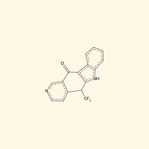 O=C1c2cnccc2C(C(F)(F)F)c2[nH]c3ccccc3c21